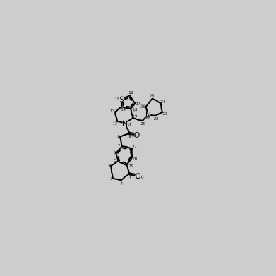 O=C1CCCc2cc(CC(=O)N3CCc4sccc4C3CN3CCCCC3)ccc21